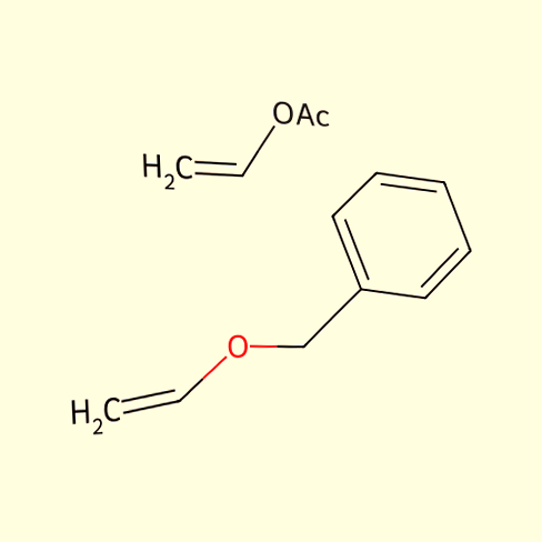 C=COC(C)=O.C=COCc1ccccc1